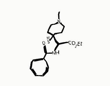 CCOC(=O)C(NC(=O)c1ccccc1)C1(S)CCN(C)CC1